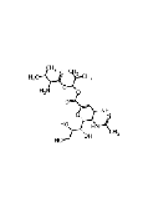 CC(=O)N[C@H]1[C@H]([C@H](O)[C@H](O)CO)OC(C(=O)OC(OC(=O)C(N)C(C)C)C(C)C)=C[C@@H]1N